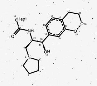 CCCCCCCC(=O)N[C@H](CN1CCCC1)[C@H](O)c1ccc2c(c1)OOCC2